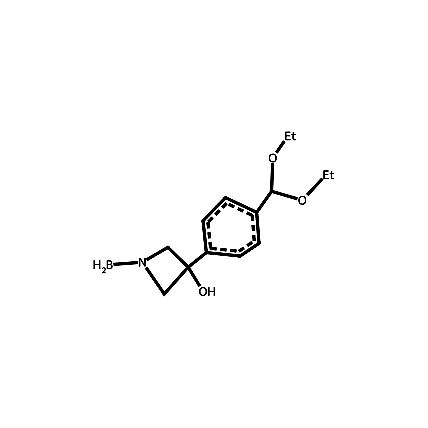 BN1CC(O)(c2ccc(C(OCC)OCC)cc2)C1